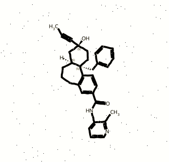 CC#C[C@]1(O)CC[C@@]2(Cc3ccccc3)c3ccc(C(=O)Nc4cccnc4C)cc3CCC[C@H]2C1